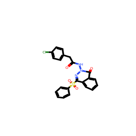 O=C(Cc1ccc(Cl)cc1)Nn1nc(S(=O)(=O)c2ccccc2)c2ccccc2c1=O